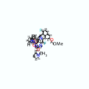 COCOc1cc(-c2ncc3c(N4C[C@H]5CC[C@@H](C4)N5C(=O)OC(C)(C)C)nc(OC[C@@H]4CCCCN4C)nc3c2F)c2c(C#C[Si](C(C)C)(C(C)C)C(C)C)c(F)ccc2c1